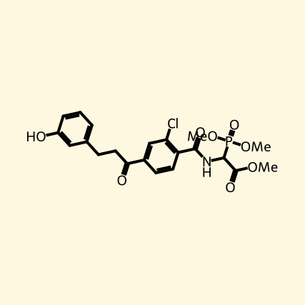 COC(=O)C(NC(=O)c1ccc(C(=O)CCc2cccc(O)c2)cc1Cl)P(=O)(OC)OC